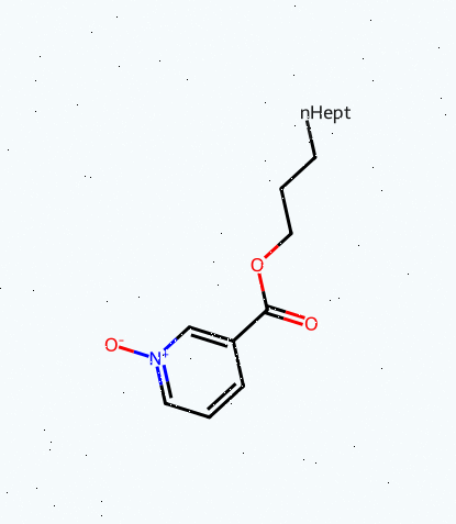 CCCCCCCCCCOC(=O)c1ccc[n+]([O-])c1